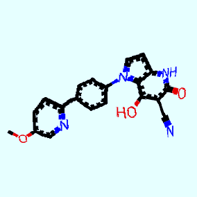 COc1ccc(-c2ccc(-n3ccc4[nH]c(=O)c(C#N)c(O)c43)cc2)nc1